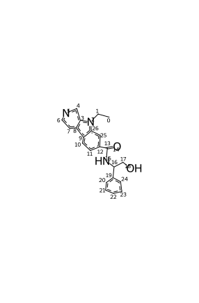 CCn1c2cnccc2c2ccc(C(=O)NC(CO)c3ccccc3)cc21